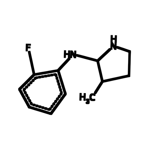 CC1CCNC1Nc1ccccc1F